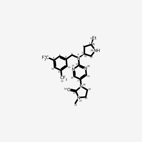 CC[C@@H]1C[C@H](N(Cc2cc(C(F)(F)F)cc(C(F)(F)F)c2)c2ncc(N3CCN(C)C3=O)cn2)CN1